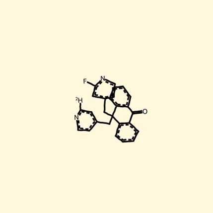 [2H]c1cc(CC2(Cc3ccnc(F)c3)c3ccccc3C(=O)c3ccccc32)ccn1